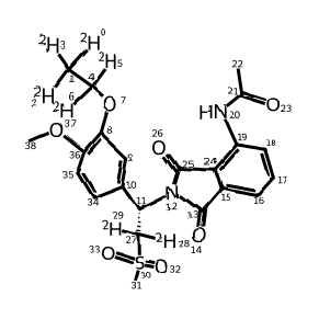 [2H]C([2H])([2H])C([2H])([2H])Oc1cc([C@H](N2C(=O)c3cccc(NC(C)=O)c3C2=O)C([2H])([2H])S(C)(=O)=O)ccc1OC